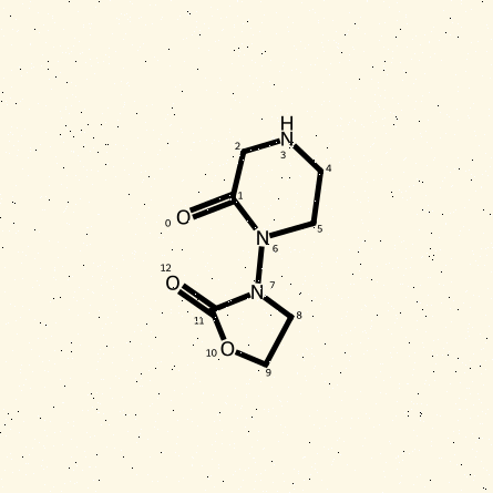 O=C1CNCCN1N1CCOC1=O